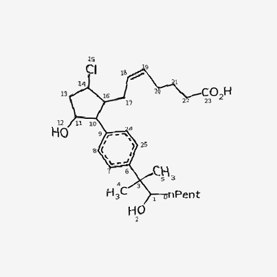 CCCCCC(O)C(C)(C)c1ccc(C2C(O)CC(Cl)C2C/C=C\CCCC(=O)O)cc1